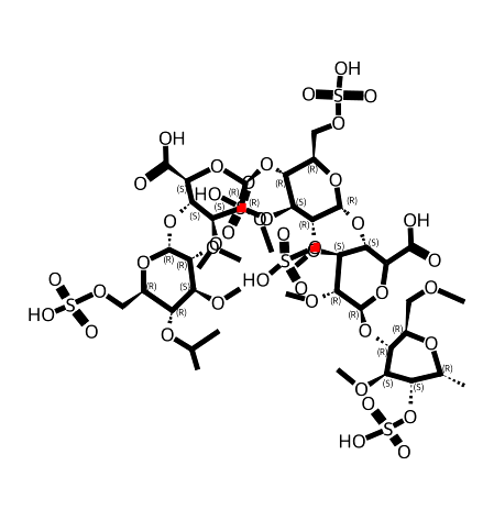 COC[C@H]1O[C@H](C)[C@H](OS(=O)(=O)O)[C@@H](OC)[C@@H]1O[C@@H]1OC(C(=O)O)[C@@H](O[C@H]2O[C@H](COS(=O)(=O)O)[C@@H](O[C@@H]3O[C@H](C(=O)O)[C@@H](O[C@H]4O[C@H](COS(=O)(=O)O)[C@@H](OC(C)C)[C@H](OC)[C@H]4OC)[C@H](OC)[C@H]3OC)[C@H](OS(=O)(=O)O)[C@H]2OS(=O)(=O)O)[C@H](OC)[C@H]1OC